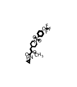 CO/C(=C\C1CCN(S(=O)(=O)c2ccc(OC(F)(F)F)cc2)CC1)C(=O)NC1CC1